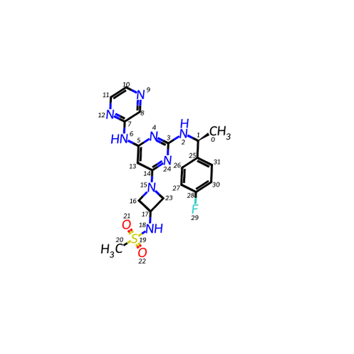 C[C@H](Nc1nc(Nc2cnccn2)cc(N2CC(NS(C)(=O)=O)C2)n1)c1ccc(F)cc1